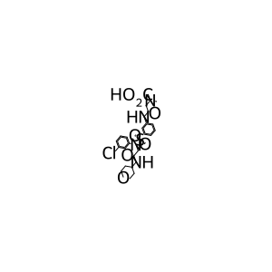 CN(CC(=O)Nc1cccc(S(=O)(=O)N(CC(=O)NC2CCOCC2)c2cccc(Cl)c2)c1)C(=O)O